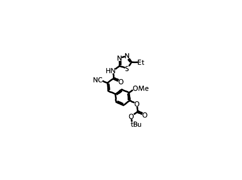 CCc1nnc(NC(=O)C(C#N)=Cc2ccc(OC(=O)OC(C)(C)C)c(OC)c2)s1